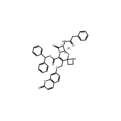 O=C(Cc1ccccc1)N[C@@H]1C(=O)N2C(C(=O)OC(c3ccccc3)c3ccccc3)=C(COc3ccc4ccc(=O)oc4c3)C3(CCN3)S[C@H]12